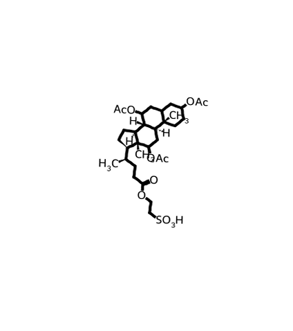 CC(=O)OC1CC[C@@]2(C)C(C1)CC(OC(C)=O)[C@H]1[C@@H]3CC[C@H]([C@H](C)CCC(=O)OCCS(=O)(=O)O)[C@@]3(C)C(OC(C)=O)C[C@@H]12